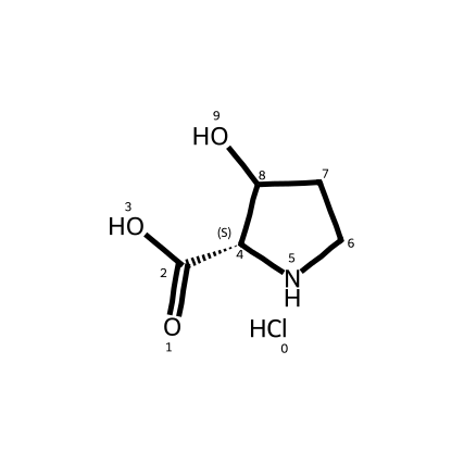 Cl.O=C(O)[C@H]1NCCC1O